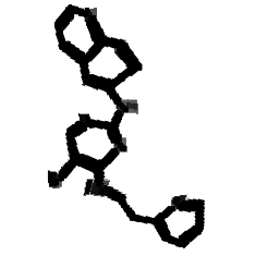 Brc1cnc(Nc2ccc3ncccc3c2)nc1NCCc1ccccn1